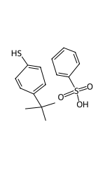 CC(C)(C)c1ccc(S)cc1.O=S(=O)(O)c1ccccc1